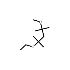 CCOC(C)(C)CC(C)(C)OC